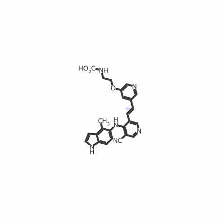 Cc1c(Nc2c(C#N)cncc2/C=C/c2cncc(OCCNC(=O)O)c2)ccc2[nH]ccc12